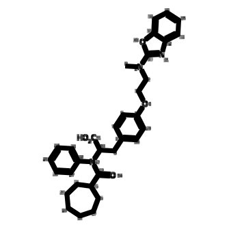 CN(CCOc1ccc(CC(C(=O)O)N(C(=O)C2CCCCCC2)c2ccccc2)cc1)c1nc2ccccc2o1